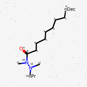 CCCCCCCCCCCCCCCCCC(=O)N(C)N(C)CCC